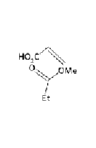 C=CC(=O)O.CCC(=O)OC